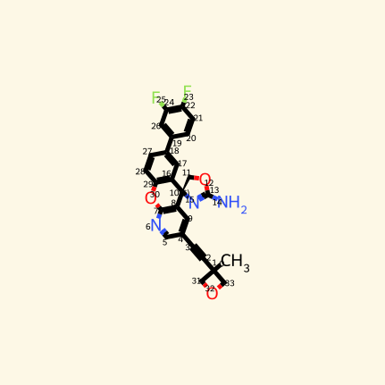 CC1(C#Cc2cnc3c(c2)[C@]2(COC(N)=N2)c2cc(-c4ccc(F)c(F)c4)ccc2O3)COC1